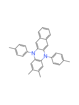 Cc1ccc(N2c3cc(C)c(C)cc3N(c3ccc(C)cc3)c3cc4ccccc4cc32)cc1